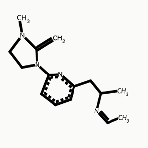 C=C1N(C)CCN1c1cccc(CC(C)/N=C\C)n1